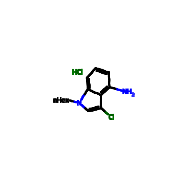 CCCCCCn1cc(Cl)c2c(N)cccc21.Cl